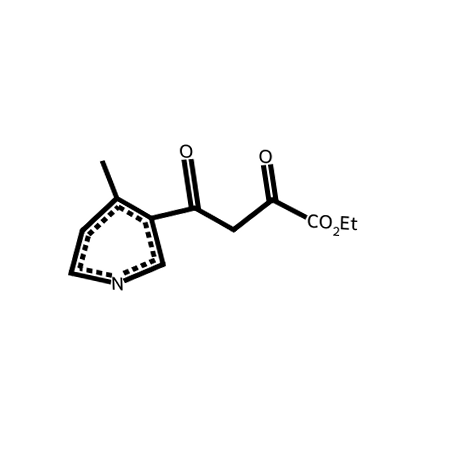 CCOC(=O)C(=O)CC(=O)c1cnccc1C